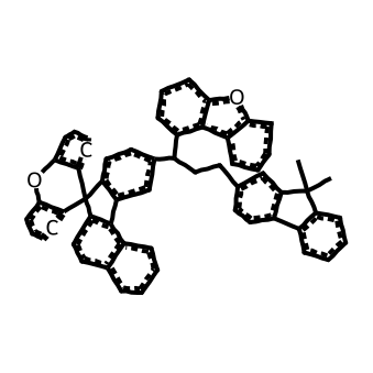 CC1(C)c2ccccc2-c2ccc(CCC(c3ccc4c(c3)-c3c(ccc5ccccc35)C43c4ccccc4Oc4ccccc43)c3cccc4oc5ccccc5c34)cc21